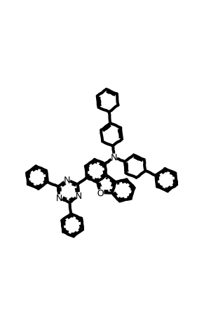 C1=CCC(C2=CCC(N(C3=CCC(c4ccccc4)C=C3)c3ccc(-c4nc(-c5ccccc5)nc(-c5ccccc5)n4)c4oc5ccccc5c34)C=C2)C=C1